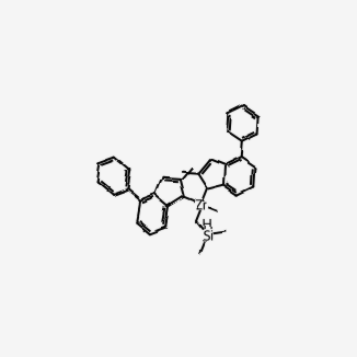 CC1=Cc2c(-c3ccccc3)cccc2[CH]1[Zr]([CH3])([CH2][SiH](C)C)[CH]1C(C)=Cc2c(-c3ccccc3)cccc21